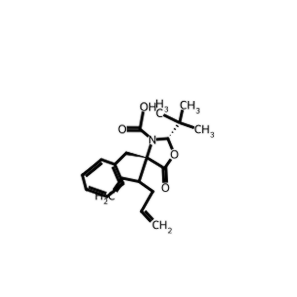 C=CCC(C=C)[C@@]1(Cc2ccccc2)C(=O)O[C@@H](C(C)(C)C)N1C(=O)O